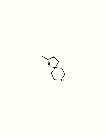 CC1=NC2(CCNCC2)CO1